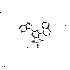 Cn1c(=O)[nH]c2nc(-n3cnc4ccncc43)nc(C3CCCc4ccccc43)c21